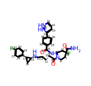 NC(=O)C1(F)CCN(C(=O)[C@H](CCCN[C@@H]2C[C@H]2c2ccc(F)cc2)NC(=O)c2ccc(C3=CC=CNN3)cc2)CC1